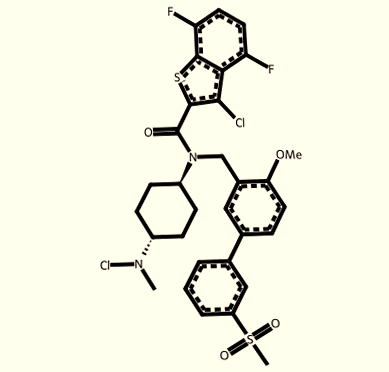 COc1ccc(-c2cccc(S(C)(=O)=O)c2)cc1CN(C(=O)c1sc2c(F)ccc(F)c2c1Cl)[C@H]1CC[C@H](N(C)Cl)CC1